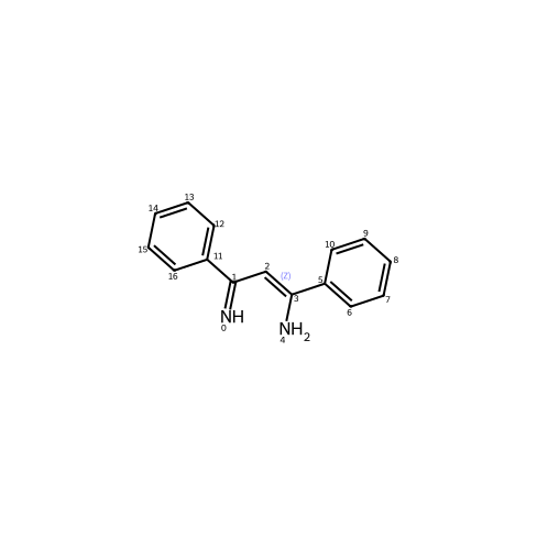 N=C(/C=C(\N)c1ccccc1)c1ccccc1